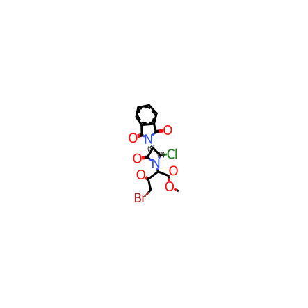 COC(=O)C(C(=O)CBr)N1C(=O)[C@H](N2C(=O)c3ccccc3C2=O)[C@H]1Cl